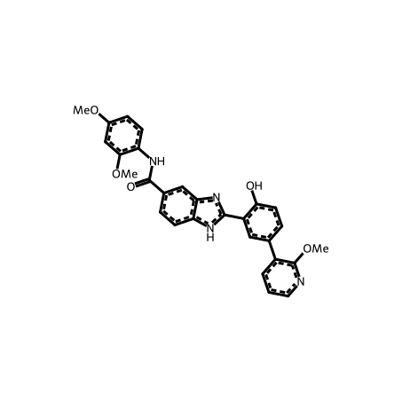 COc1ccc(NC(=O)c2ccc3[nH]c(-c4cc(-c5cccnc5OC)ccc4O)nc3c2)c(OC)c1